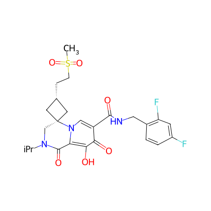 CC(C)N1C[C@]2(C[C@@H](CCS(C)(=O)=O)C2)n2cc(C(=O)NCc3ccc(F)cc3F)c(=O)c(O)c2C1=O